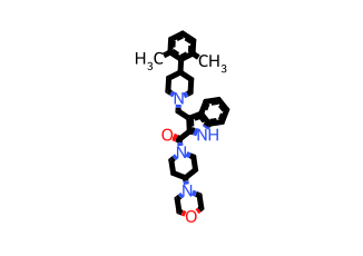 Cc1cccc(C)c1C1CCN(Cc2c(C(=O)N3CCC(N4CCOCC4)CC3)[nH]c3ccccc23)CC1